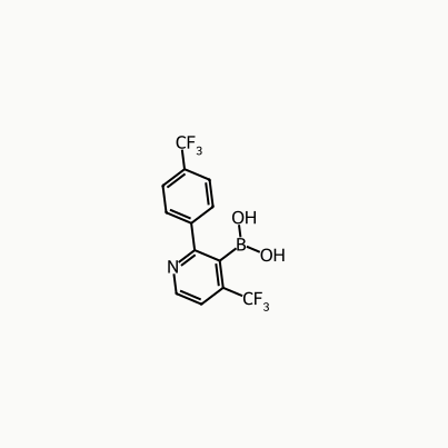 OB(O)c1c(C(F)(F)F)ccnc1-c1ccc(C(F)(F)F)cc1